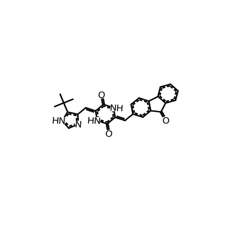 CC(C)(C)c1[nH]cnc1/C=c1\[nH]c(=O)/c(=C/c2ccc3c(c2)C(=O)c2ccccc2-3)[nH]c1=O